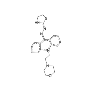 c1ccc2c(c1)c(=NN=C1NCCS1)c1ccccc1n2CCN1CCOCC1